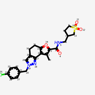 Cc1c(C(=O)NCC2CCS(=O)(=O)C2)oc2c1-c1nn(Cc3ccc(Cl)cc3)cc1CC2